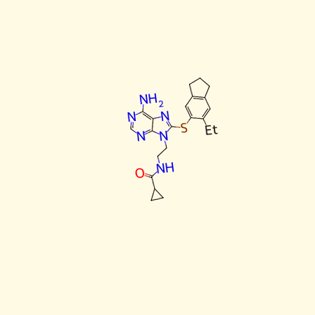 CCc1cc2c(cc1Sc1nc3c(N)ncnc3n1CCNC(=O)C1CC1)CCC2